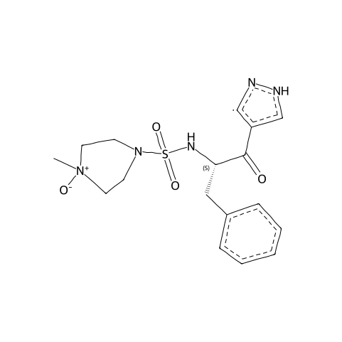 C[N+]1([O-])CCN(S(=O)(=O)N[C@@H](Cc2ccccc2)C(=O)c2[c]n[nH]c2)CC1